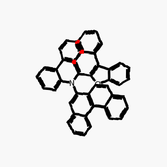 c1ccc(-c2ccccc2N(c2cc3ccccc3c3c2ccc2ccccc23)c2cc3ccccc3c3c2oc2ccccc23)cc1